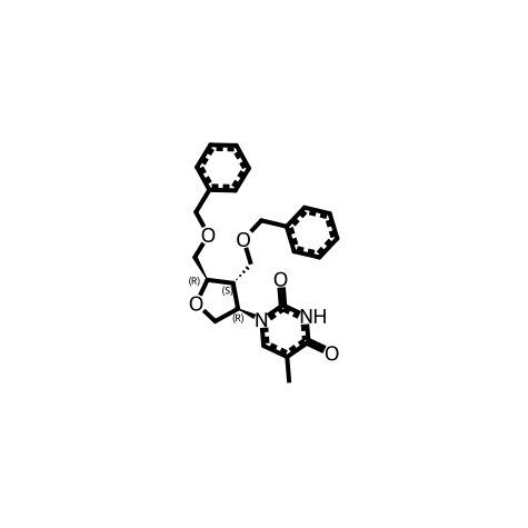 Cc1cn([C@H]2CO[C@@H](COCc3ccccc3)[C@@H]2COCc2ccccc2)c(=O)[nH]c1=O